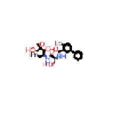 CCc1ccc(-c2ccccc2)cc1C(=O)N[C@@H](CO)C(=O)NC(CC(C)C)C(=O)C1(CO)CO1